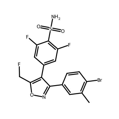 Cc1cc(-c2noc(CF)c2-c2cc(F)c(S(N)(=O)=O)c(F)c2)ccc1Br